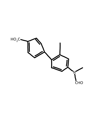 Cc1cc(N(C)C=O)ccc1-c1ccc(C(=O)O)cc1